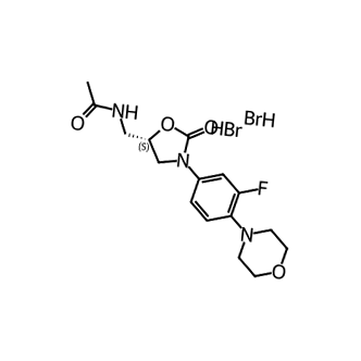 Br.Br.CC(=O)NC[C@H]1CN(c2ccc(N3CCOCC3)c(F)c2)C(=O)O1